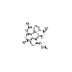 COc1ccc([N+](=O)[O-])c2c1C(=O)c1c([N+](=O)[O-])ccc([N+](=O)[O-])c1C2=O